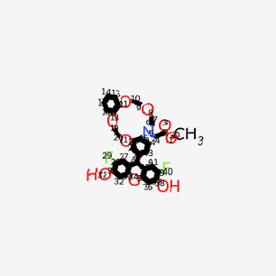 COC(=O)CN1CCOCCOc2ccccc2OCCOc2cc(C3c4cc(F)c(O)cc4Oc4cc(O)c(F)cc43)ccc21